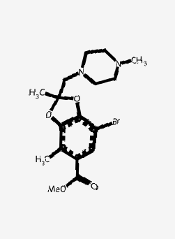 COC(=O)c1cc(Br)c2c(c1C)OC(C)(CN1CCN(C)CC1)O2